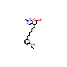 CCNc1cccc(CCCCCC[C@H](CC(=O)O)c2cnc(C)nc2)n1